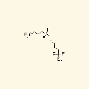 CCC(F)(F)CCCCCC(F)(F)CCCC(F)(F)F